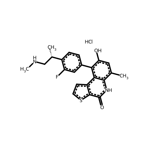 CNC[C@H](C)c1ccc(-c2c(O)cc(C)c3[nH]c(=O)c4sccc4c23)cc1F.Cl